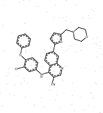 N#Cc1cnc2cc(-c3ccc(CN4CCOCC4)s3)ccc2c1Nc1ccc(Oc2ccccc2)c(Cl)c1